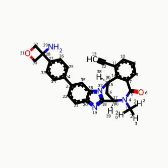 [2H]C([2H])([2H])N1C(=O)c2cccc(C#C)c2[C@H]2C[C@@H]1c1nc3ccc(-c4ccc(C5(N)COC5)cc4)cc3n12